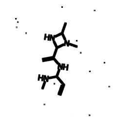 C=CC(NC)NC(=C)C1NC(C)N1C